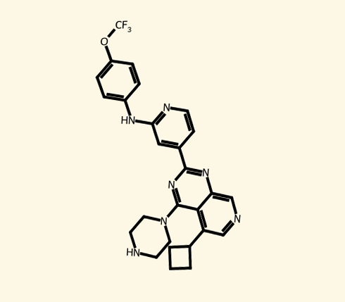 FC(F)(F)Oc1ccc(Nc2cc(-c3nc(N4CCNCC4)c4c(C5CCC5)cncc4n3)ccn2)cc1